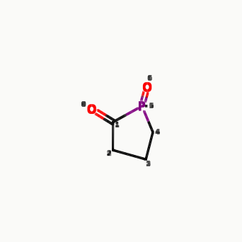 O=C1CCC[P]1=O